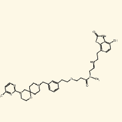 Cc1ccnc(N2CCOC3(CCN(Cc4cccc(CCOCCC(=O)N(C)CCNCCc5ccc(O)c6[nH]c(=O)sc56)c4)CC3)C2)n1